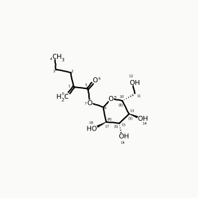 C=C(CCC)C(=O)OC1O[C@H](CO)[C@@H](O)[C@H](O)[C@H]1O